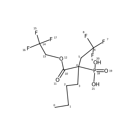 CCCCC(CC(F)(F)F)(C(=O)OCC(F)(F)F)P(=O)(O)O